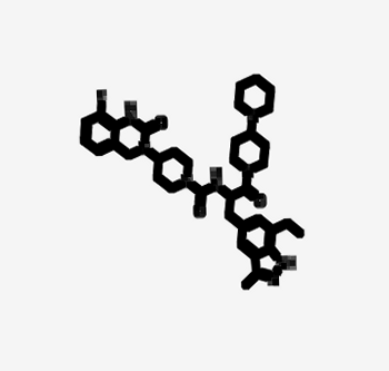 CCc1cc(CC(NC(=O)N2CCC(N3Cc4cccc(F)c4NC3=O)CC2)C(=O)N2CCC(N3CCCCC3)CC2)cc2c(C)n[nH]c12